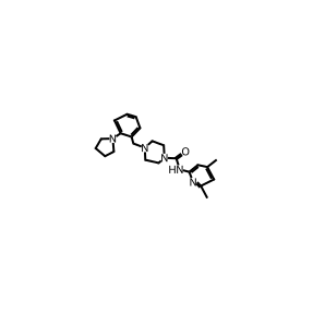 Cc1cc(C)nc(NC(=O)N2CCN(Cc3ccccc3N3CCCC3)CC2)c1